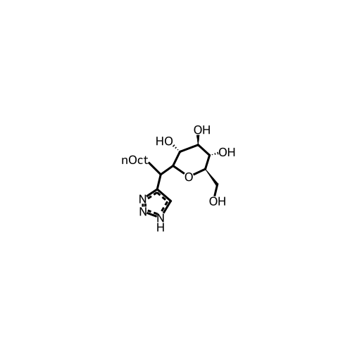 CCCCCCCCC(c1c[nH]nn1)C1O[C@H](CO)[C@@H](O)[C@H](O)[C@H]1O